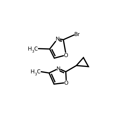 Cc1coc(Br)n1.Cc1coc(C2CC2)n1